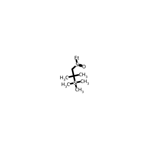 CC[Si](=O)CC(C)(C)[Si](C)(C)C